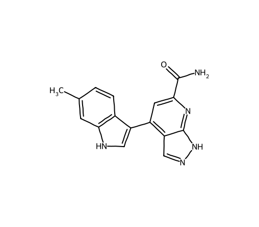 Cc1ccc2c(-c3cc(C(N)=O)nc4[nH]ncc34)c[nH]c2c1